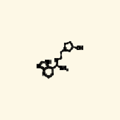 NC(=NCCN1CCC(O)C1)c1ccnc2nc[nH]c12